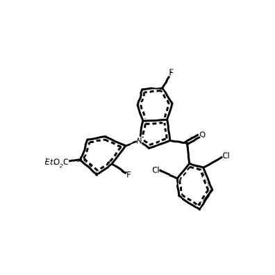 CCOC(=O)c1ccc(-n2cc(C(=O)c3c(Cl)cccc3Cl)c3cc(F)ccc32)c(F)c1